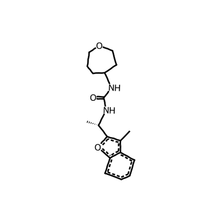 Cc1c([C@H](C)NC(=O)NC2CCCOCC2)oc2ccccc12